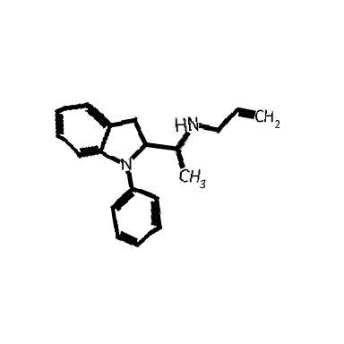 C=CCNC(C)C1Cc2ccccc2N1c1ccccc1